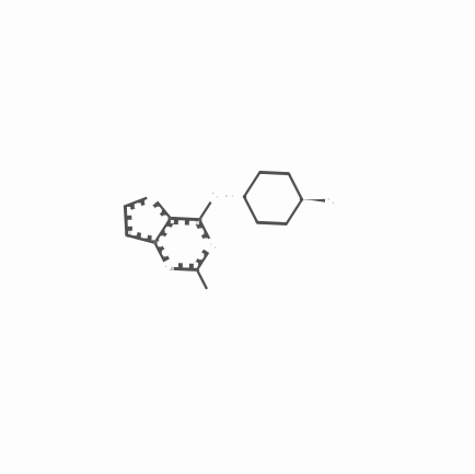 N[C@H]1CC[C@H](Nc2nc(Cl)nc3ccsc23)CC1